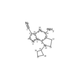 N#Cc1cnn2c3c(c(N)nc12)CCN3C1CCC1